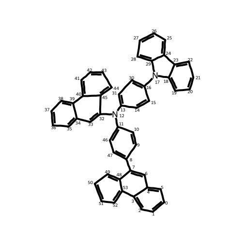 c1ccc2c(c1)cc(-c1ccc(N(c3ccc(-n4c5ccccc5c5ccccc54)cc3)c3cc4ccccc4c4ccccc34)cc1)c1ccccc12